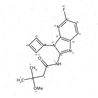 COC(C)(C)CC(=O)Nc1nc2ccc(F)nc2n1C1=CC=C1